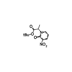 CC(C(=O)OC(C)(C)C)n1cccc([N+](=O)[O-])c1=O